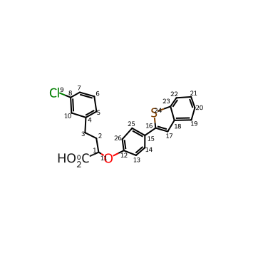 O=C(O)C(CCc1cccc(Cl)c1)Oc1ccc(-c2cc3ccccc3s2)cc1